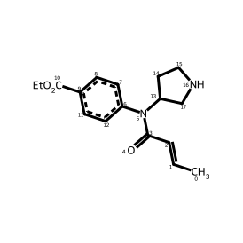 CC=CC(=O)N(c1ccc(C(=O)OCC)cc1)C1CCNC1